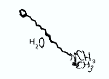 CCN(CC)CCCCCCCCCCCCCCCCc1ccccc1.O